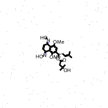 COc1cc([C@H](CC=C(C)C)OC(=O)CC(C)(C)O)c(OC)c2c1/C(=N/O)C=C/C2=N\O